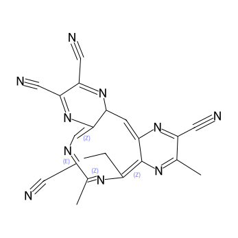 CCC1=c2\nc(C)c(C#N)nc2=CC2N=C(C#N)C(C#N)=N\C2=C/N=C(C#N)\C(C)=N/1